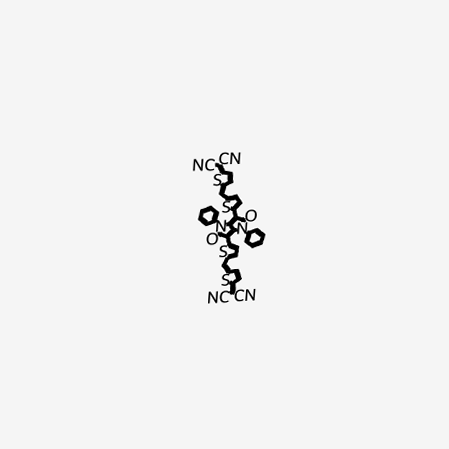 N#CC(C#N)=c1cc/c(=C\c2ccc(C3=C4C(=C(c5ccc(/C=c6\ccc(=C(C#N)C#N)s6)s5)C(=O)N4c4ccccc4)N(c4ccccc4)C3=O)s2)s1